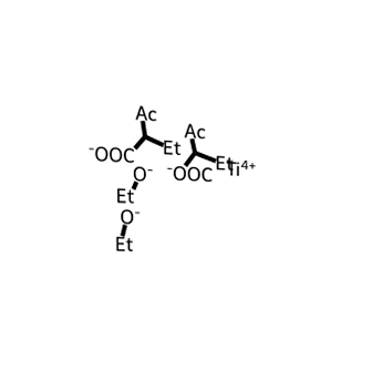 CCC(C(C)=O)C(=O)[O-].CCC(C(C)=O)C(=O)[O-].CC[O-].CC[O-].[Ti+4]